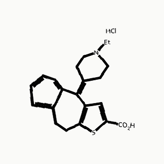 CCN1CCC(=C2c3ccccc3CCc3sc(C(=O)O)cc32)CC1.Cl